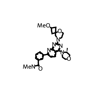 CNC(=O)c1cccc(-c2ccc3c(N4CCOC[C@@H]4C)nc(N4CCOC5(CC(OC)C5)C4)nc3n2)c1